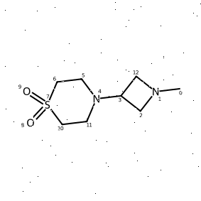 CN1CC(N2CCS(=O)(=O)CC2)C1